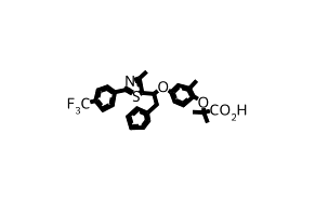 Cc1cc(OC(Cc2ccccc2)c2sc(-c3ccc(C(F)(F)F)cc3)nc2C)ccc1OC(C)(C)C(=O)O